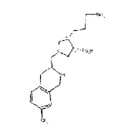 BCCC[C@H]1CN(CC2Cc3ccc(C(F)(F)F)cc3CN2)C[C@H]1C(=O)O